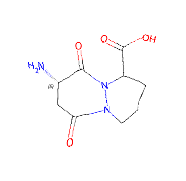 N[C@H]1CC(=O)N2CCCC(C(=O)O)N2C1=O